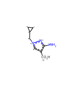 Nc1nn(CC2CC2)cc1C(=O)O